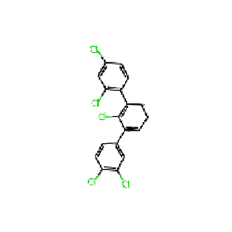 ClC1=C(c2ccc(Cl)cc2Cl)[CH]CC=C1c1ccc(Cl)c(Cl)c1